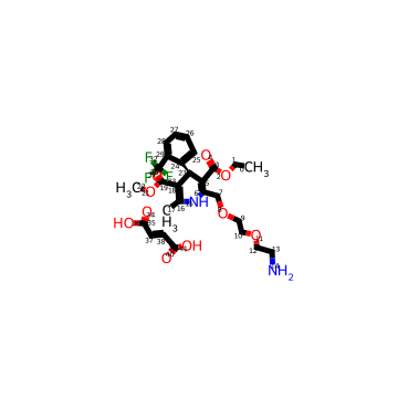 CCOC(=O)C1=C(COCCOCCN)NC(C)=C(C(=O)OC)[C@H]1c1ccccc1C(F)(F)F.O=C(O)C=CC(=O)O